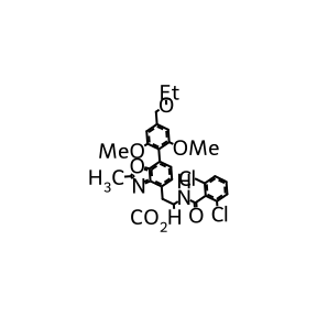 CCOCc1cc(OC)c(-c2ccc(CC(NC(=O)c3c(Cl)cccc3Cl)C(=O)O)c3nc(C)oc23)c(OC)c1